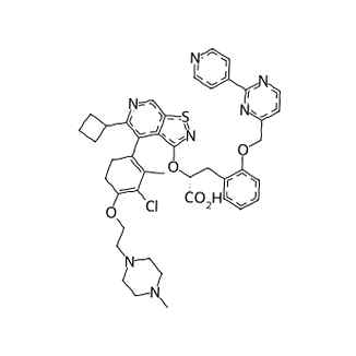 CC1=C(c2c(C3CCC3)ncc3snc(O[C@H](Cc4ccccc4OCc4ccnc(-c5ccncc5)n4)C(=O)O)c23)CCC(OCCN2CCN(C)CC2)=C1Cl